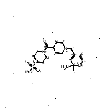 CC(C)S(=O)(=O)N1CCN(C(=O)C2CCN(CC3=CC(C)(N)NC=C3)CC2)CC1